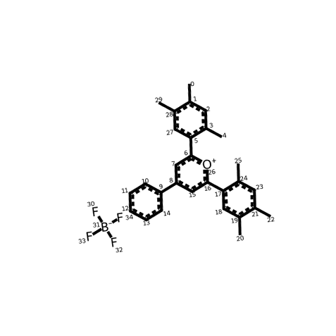 Cc1cc(C)c(-c2cc(-c3ccccc3)cc(-c3cc(C)c(C)cc3C)[o+]2)cc1C.F[B-](F)(F)F